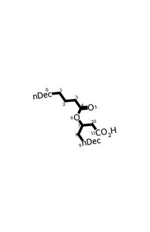 CCCCCCCCCCCCCC(=O)OC(CCCCCCCCCCC)CC(=O)O